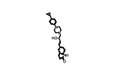 O=c1ccc2cc(/C=C/[C@H](O)CN3CCN(c4ccc(C5CC5)cc4)CC3)ccc2[nH]1